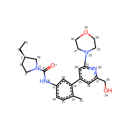 CC[C@@H]1CCN(C(=O)Nc2ccc(C)c(-c3cc(CO)nc(N4CCOCC4)c3)c2)C1